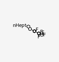 CCCCCCCC1CCC2CC(c3ccc(-c4cc(F)c(OC(F)F)c(F)c4)c(F)c3)CCC2C1